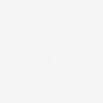 CCSC(=O)N(CC(C)C)N1C(=O)c2ccccc2C1=O